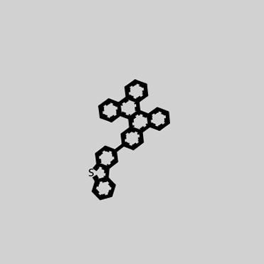 c1ccc2c(c1)sc1ccc(-c3ccc4c5ccccc5c5c6ccccc6c6ccccc6c5c4c3)cc12